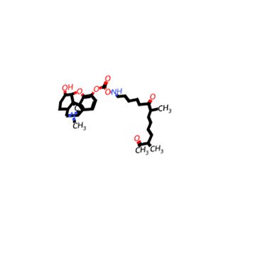 CC(=O)C(C)CCCCC(C)C(=O)CCCCCNOC(=O)Oc1ccc2c3c1OC1C(O)CCC4C(C2)N(C)CCC341